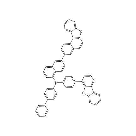 c1ccc(-c2ccc(N(c3ccc(-c4cccc5c4oc4ccccc45)cc3)c3cccc4cc(-c5ccc6c(ccc7oc8ccccc8c76)c5)ccc34)cc2)cc1